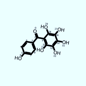 O=C(c1ccc(O)cc1)c1c(O)c(O)c(O)c(O)c1O